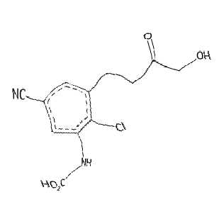 N#Cc1cc(CCC(=O)CO)c(Cl)c(NC(=O)O)c1